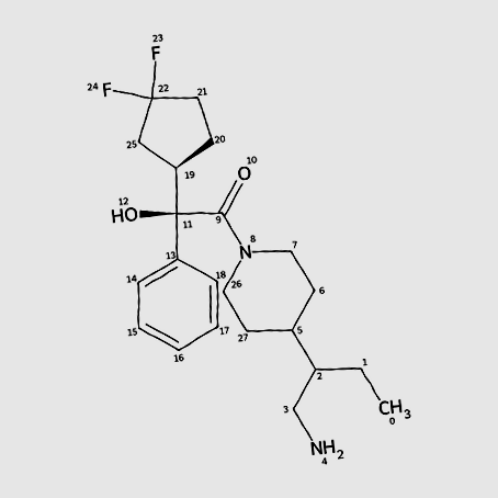 CCC(CN)C1CCN(C(=O)[C@](O)(c2ccccc2)[C@@H]2CCC(F)(F)C2)CC1